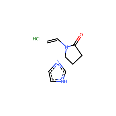 C=CN1CCCC1=O.Cl.c1c[nH]cn1